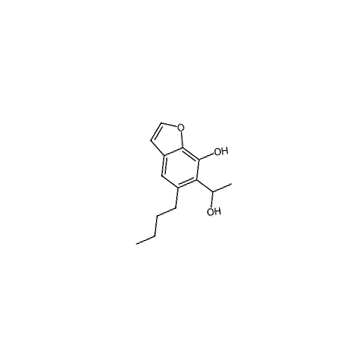 CCCCc1cc2ccoc2c(O)c1C(C)O